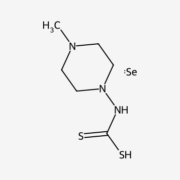 CN1CCN(NC(=S)S)CC1.[Se]